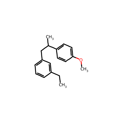 CCc1cccc(CC(C)c2ccc(OC)cc2)c1